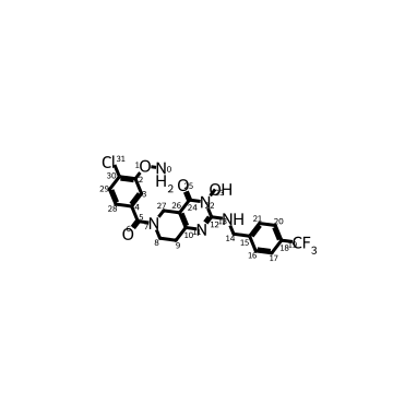 NOc1cc(C(=O)N2CCc3nc(NCc4ccc(C(F)(F)F)cc4)n(O)c(=O)c3C2)ccc1Cl